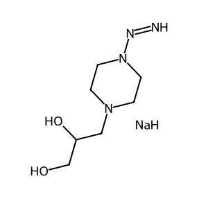 N=NN1CCN(CC(O)CO)CC1.[NaH]